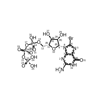 Nc1nc2c(nc(Br)n2[C@@H]2O[C@H](COP(=O)(O)OP(=O)(O)OP(=O)(O)O)[C@@H](O)[C@H]2O)c(=O)[nH]1